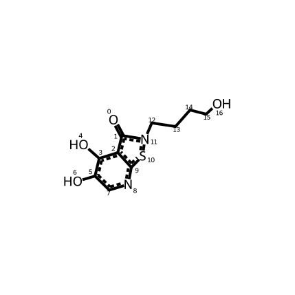 O=c1c2c(O)c(O)cnc2sn1CCCCO